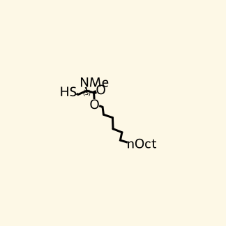 CCCCCCCCCCCCCCOC(=O)[C@@H](CS)NC